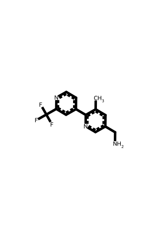 Cc1cc(CN)cnc1-c1ccnc(C(F)(F)F)c1